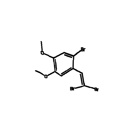 COc1cc(Br)c(C=C(Br)Br)cc1OC